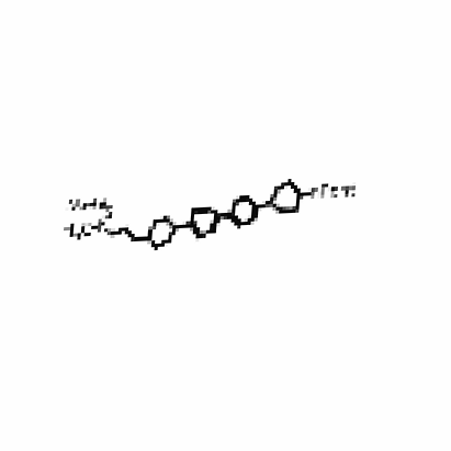 CCCCCC1CCC(c2ccc(-c3ccc(C4CCC(CCCN(C)SOC)CC4)cc3)cc2)CC1